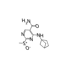 C[S+]([O-])c1ncc(C(N)=O)c(NC23CCC(C2)C3)n1